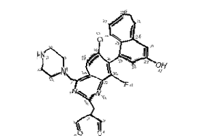 O=CC(C=O)c1nc(N2CCNCC2)c2cc(Cl)c(-c3cc(O)cc4ccccc34)c(F)c2n1